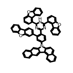 c1ccc2cc3c(cc2c1)c1c2ccccc2ccc1n3-c1ccc(C2=NC(c3cccc4oc5ccccc5c34)NC(c3cccc4oc5ccccc5c34)=N2)c(-c2ccc3c(c2)oc2ccccc23)c1